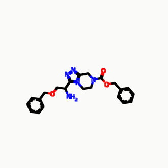 NC(COCc1ccccc1)c1nnc2n1CCN(C(=O)OCc1ccccc1)C2